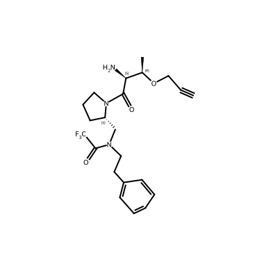 C#CCO[C@H](C)[C@H](N)C(=O)N1CCC[C@H]1CN(CCc1ccccc1)C(=O)C(F)(F)F